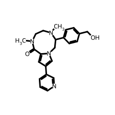 CN1CCN(C)C(c2ccc(CO)cc2)Cn2cc(-c3cccnc3)cc2C1=O